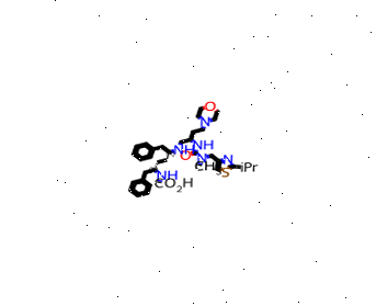 CC(C)c1nc(CN(C)C(=O)NC(CCN2CCOCC2)CN[C@H](CC[C@@H](Cc2ccccc2)NC(=O)O)Cc2ccccc2)cs1